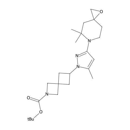 Cc1cc(N2CCC3(CO3)CC2(C)C)nn1C1CC2(C1)CN(C(=O)OC(C)(C)C)C2